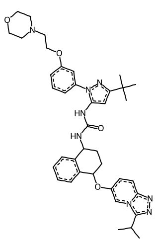 CC(C)c1nnc2ccc(OC3CCC(NC(=O)Nc4cc(C(C)(C)C)nn4-c4cccc(OCCN5CCOCC5)c4)c4ccccc43)cn12